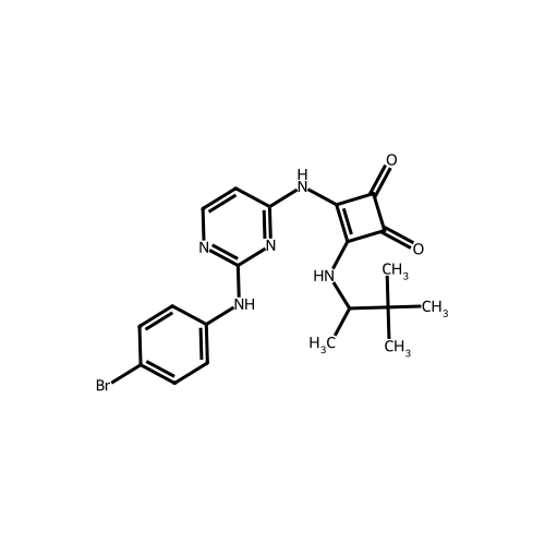 CC(Nc1c(Nc2ccnc(Nc3ccc(Br)cc3)n2)c(=O)c1=O)C(C)(C)C